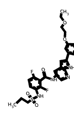 CCCS(=O)(=O)Nc1ccc(F)c(C(=O)Nc2cnc3[nH]c(-c4cccc(OCCOCC)c4)cc3c2)c1F